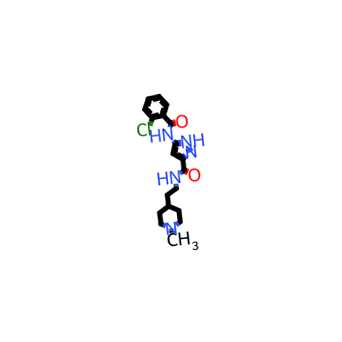 CN1CCC(CCNC(=O)c2cc(NC(=O)c3ccccc3Cl)[nH]n2)CC1